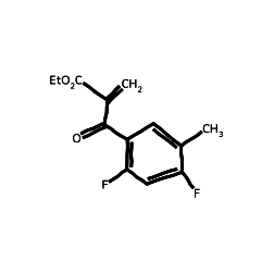 C=C(C(=O)OCC)C(=O)c1cc(C)c(F)cc1F